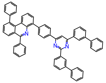 c1ccc(-c2cccc(-c3cc(-c4ccc(-c5cccc6c5nc(-c5ccccc5)c5cccc(-c7ccccc7)c56)cc4)nc(-c4cccc(-c5ccccc5)c4)n3)c2)cc1